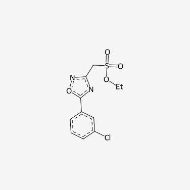 CCOS(=O)(=O)Cc1noc(-c2cccc(Cl)c2)n1